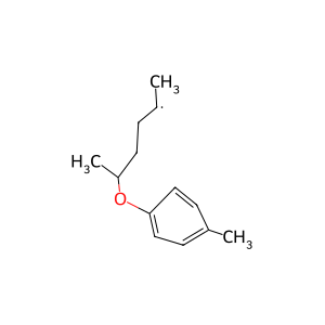 C[CH]CCC(C)Oc1ccc(C)cc1